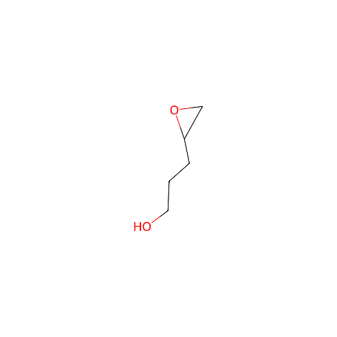 OCCCC1CO1